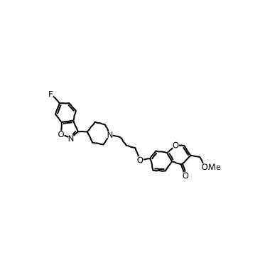 COCc1coc2cc(OCCCN3CCC(c4noc5cc(F)ccc45)CC3)ccc2c1=O